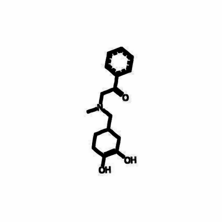 CN(CC(=O)c1ccccc1)CC1CCC(O)=C(O)C1